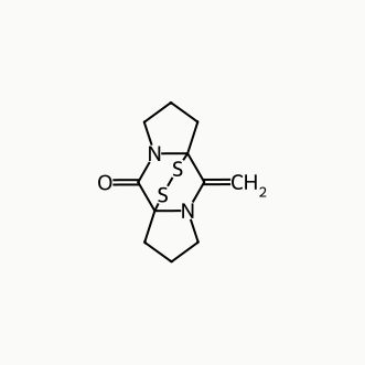 C=C1N2CCCC23SSC12CCCN2C3=O